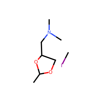 CC1OCC(CN(C)C)O1.CI